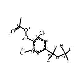 CC(=O)OOc1c(Cl)cc(C(C)(C)CC(C)(C)C)cc1Cl